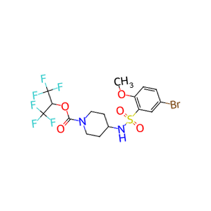 COc1ccc(Br)cc1S(=O)(=O)NC1CCN(C(=O)OC(C(F)(F)F)C(F)(F)F)CC1